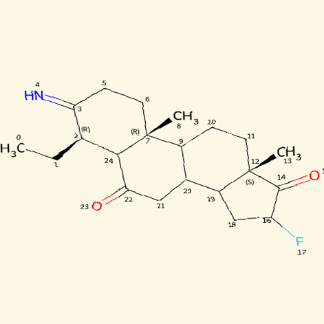 CC[C@H]1C(=N)CC[C@]2(C)C3CC[C@]4(C)C(=O)C(F)CC4C3CC(=O)C12